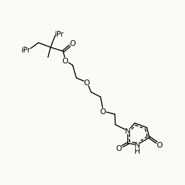 CC(C)CC(C)(C(=O)OCCOCCOCCn1ccc(=O)[nH]c1=O)C(C)C